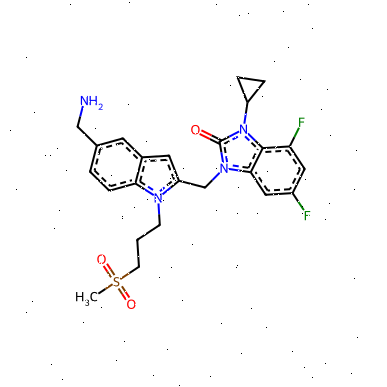 CS(=O)(=O)CCCn1c(Cn2c(=O)n(C3CC3)c3c(F)cc(F)cc32)cc2cc(CN)ccc21